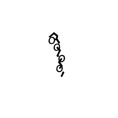 CCOCCOCCOCC1CCCO1